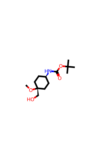 CO[C@]1(CO)CC[C@@H](NC(=O)OC(C)(C)C)CC1